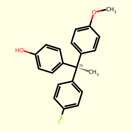 COc1ccc([C@](C)(c2ccc(O)cc2)c2ccc(F)cc2)cc1